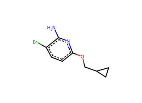 Nc1nc(OCC2CC2)ccc1Br